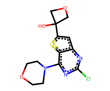 OC1(c2cc3nc(Cl)nc(N4CCOCC4)c3s2)COC1